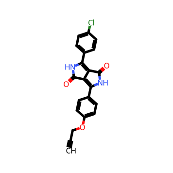 C#CCOc1ccc(C2=C3C(=O)NC(c4ccc(Cl)cc4)=C3C(=O)N2)cc1